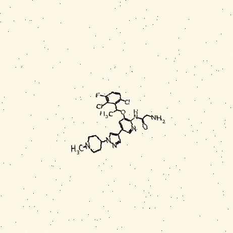 CC(Oc1cc(-c2cnn(C3CCN(C)CC3)c2)cnc1NC(=O)CN)c1c(Cl)ccc(F)c1Cl